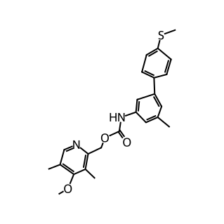 COc1c(C)cnc(COC(=O)Nc2cc(C)cc(-c3ccc(SC)cc3)c2)c1C